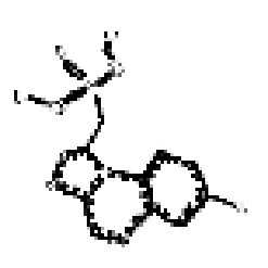 CCOP(=O)(Cc1nnc2cnc3cc(C#N)ccc3n12)OCC